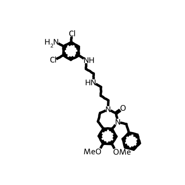 COc1cc2c(cc1OC)N(Cc1ccccc1)C(=O)N(CCCNCCNc1cc(Cl)c(N)c(Cl)c1)CC2